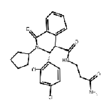 NC(=O)CCNC(=O)[C@@H]1c2ccccc2C(=O)N(C2CCCC2)[C@H]1c1ccc(Cl)cc1Cl